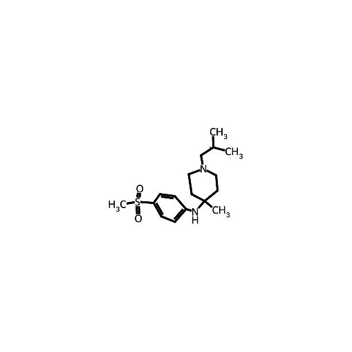 C[C](C)CN1CCC(C)(Nc2ccc(S(C)(=O)=O)cc2)CC1